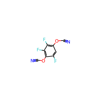 N#COc1cc(F)c(OC#N)c(F)c1F